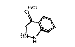 Cl.O=C1CNNc2ccccc21